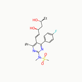 CC[C@H](O)C[C@H](O)/C=C/c1c(-c2ccc(F)cc2)nc(N(C)S(C)(=O)=O)nc1C(C)C